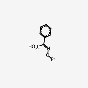 CCON=C(C(=O)O)c1ccccc1